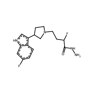 NNC(=O)C(F)CCN1CCC(c2c[nH]c3cc(F)ccc23)C1